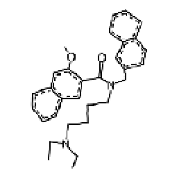 CCN(CC)CCCCN(Cc1ccc2ccccc2c1)C(=O)c1cc2ccccc2cc1OC